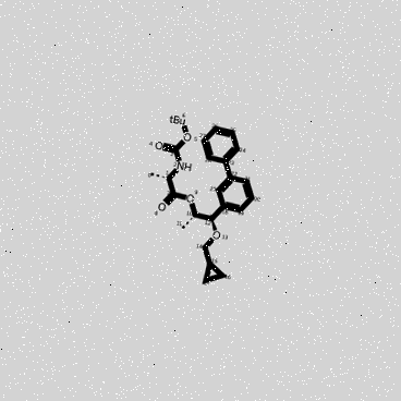 C[C@H](NC(=O)OC(C)(C)C)C(=O)O[C@@H](C)[C@H](OCC1CC1)c1cccc(-c2ccccc2)c1